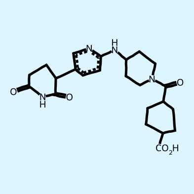 O=C1CCC(c2ccc(NC3CCN(C(=O)C4CCC(C(=O)O)CC4)CC3)nc2)C(=O)N1